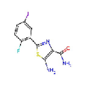 NC(=O)c1nc(-c2cc(I)ccc2F)sc1N